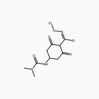 CCO/N=C(/CC)C1C(=O)CC(NC(=O)N(C)C)CC1=O